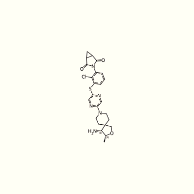 C[C@@H]1OCC2(CCN(c3cnc(Sc4cccc(N5C(=O)C6CC6C5=O)c4Cl)cn3)CC2)[C@@H]1N